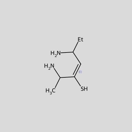 CCC(N)/C=C(/S)C(C)N